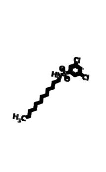 CCCCCCCCCCCCNS(=O)(=O)c1cc(Cl)[c]c(Cl)c1